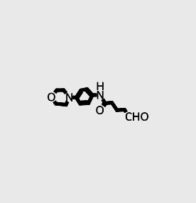 O=CCCCC(=O)Nc1ccc(N2CCOCC2)cc1